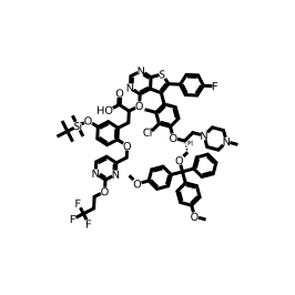 COc1ccc(C(OC[C@@H](CN2CCN(C)CC2)Oc2ccc(-c3c(-c4ccc(F)cc4)sc4ncnc(OC(Cc5cc(O[Si](C)(C)C(C)(C)C)ccc5OCc5ccnc(OCCC(F)(F)F)n5)C(=O)O)c34)c(C)c2Cl)(c2ccccc2)c2ccc(OC)cc2)cc1